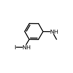 CNC1C=C(NI)C=CC1